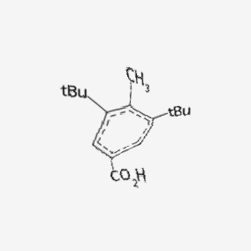 Cc1c(C(C)(C)C)cc(C(=O)O)cc1C(C)(C)C